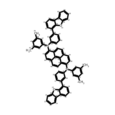 Cc1cc(C)cc(N(c2cccc(-c3cccc4c3oc3ccccc34)c2)c2ccc3ccc4c(N(c5cc(C)cc(C)c5)c5cccc(-c6cccc7c6oc6ccccc67)c5)ccc5ccc2c3c54)c1